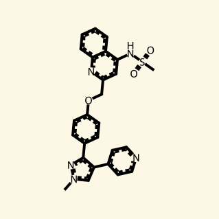 Cn1cc(-c2ccncc2)c(-c2ccc(OCc3cc(NS(C)(=O)=O)c4ccccc4n3)cc2)n1